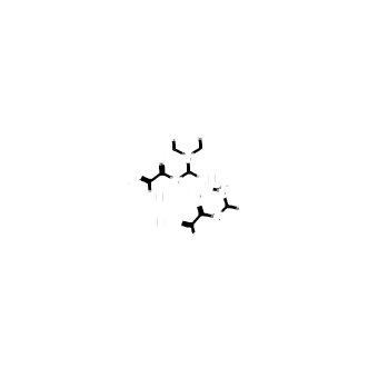 C=C(C)C(=O)NC(C)N(C)C.C=C(C)C(=O)NC(C)N(CC)CC